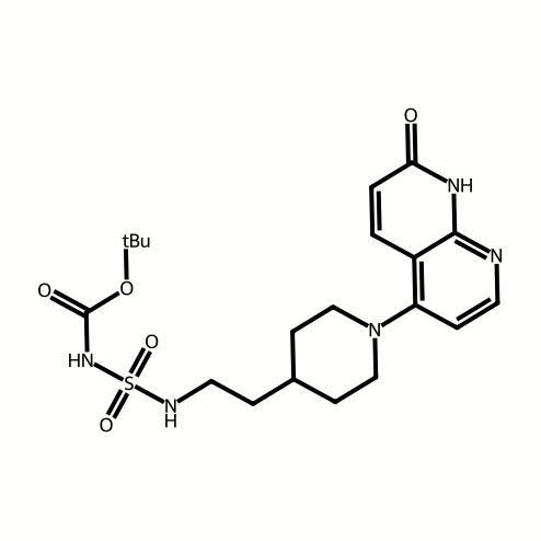 CC(C)(C)OC(=O)NS(=O)(=O)NCCC1CCN(c2ccnc3[nH]c(=O)ccc23)CC1